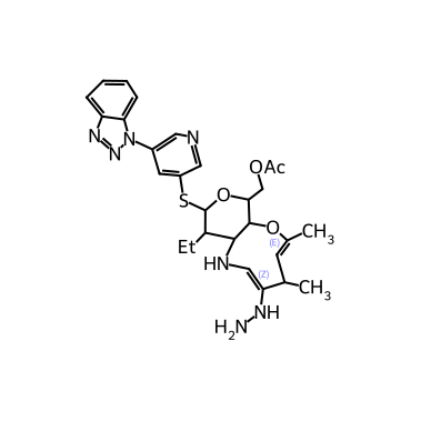 CCC1C(Sc2cncc(-n3nnc4ccccc43)c2)OC(COC(C)=O)C2O/C(C)=C/C(C)/C(NN)=C/NC12